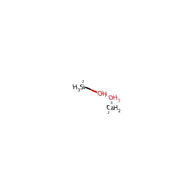 O.O[SiH3].[CaH2]